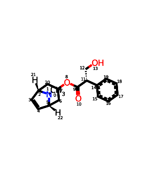 CN1[C@@H]2C=C[C@H]1CC(OC(=O)[C@H](CO)c1ccccc1)C2